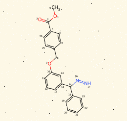 COC(=O)c1ccc(COc2cccc(C(N=N)c3ccccc3)c2)cc1